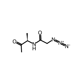 CC(=O)[C@@H](C)NC(=O)CN=[N+]=[N-]